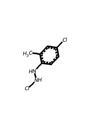 Cc1cc(Cl)ccc1NNCl